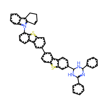 C1=Cc2c(c3ccccc3n2-c2cccc3c2sc2ccc(-c4ccc5sc6cc(C7NC(c8ccccc8)=NC(c8ccccc8)N7)ccc6c5c4)cc23)CC1